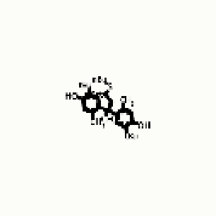 CCCCCCCCC(CC(C)(c1cc(C(C)(C)C)c(O)cc1C)c1cc(C(C)(C)C)c(O)cc1C)SCCCC